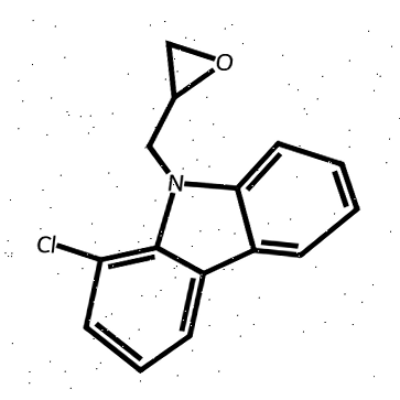 Clc1cccc2c3ccccc3n(CC3CO3)c12